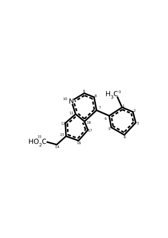 Cc1ccccc1-c1ccnc2cc(CC(=O)O)ccc12